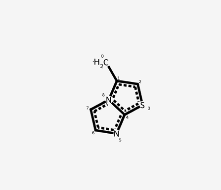 [CH2]c1csc2nccn12